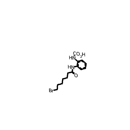 O=C(O)Nc1ccccc1NC(=O)CCCCCCBr